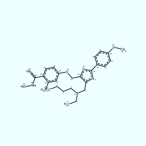 CCCCN(CC)Cc1nc(-c2ccc(OC)cc2)oc1COc1ccc(C(=N)NO)c(C)c1